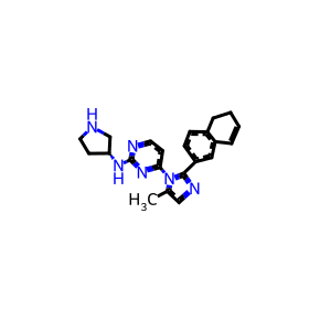 Cc1cnc(-c2ccc3c(c2)C=CCC3)n1-c1ccnc(N[C@H]2CCNC2)n1